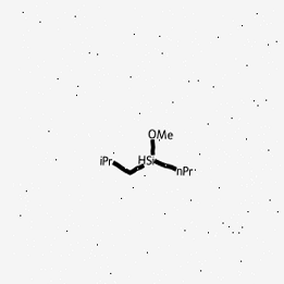 CCC[SiH](CC(C)C)OC